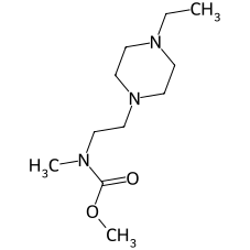 CCN1CCN(CCN(C)C(=O)OC)CC1